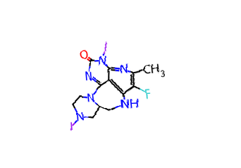 Cc1nc2c3c(nc(=O)n2I)N2CCN(I)CC2CNc3c1F